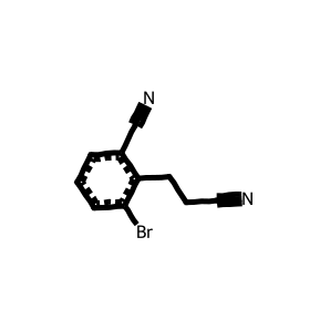 N#CCCc1c(Br)cccc1C#N